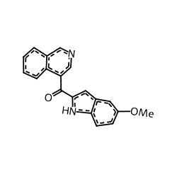 COc1ccc2[nH]c(C(=O)c3cncc4ccccc34)cc2c1